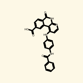 O=C(O)c1ccc2c(=O)[nH]c3nccc(Nc4ccc(NC(=O)c5ccccc5)cc4)c3c2c1